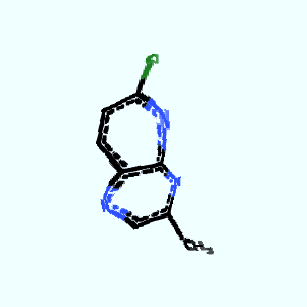 Cc1cnc2ccc(Cl)nc2n1